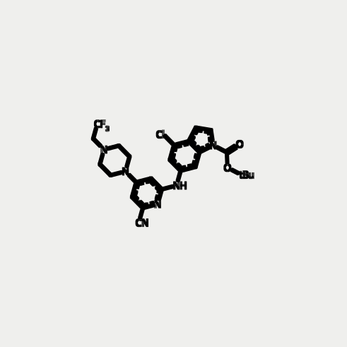 CC(C)(C)OC(=O)n1ccc2c(Cl)cc(Nc3cc(N4CCN(CC(F)(F)F)CC4)cc(C#N)n3)cc21